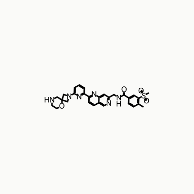 Cc1ccc(C(=O)NCc2cc3nc(-c4cccc(N5CC6(CNCCO6)C5)n4)ccc3cn2)cc1S(C)(=O)=O